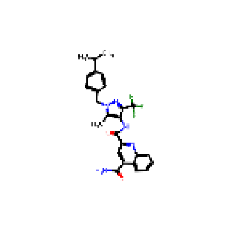 Cc1c(NC(=O)c2cc(C(N)=O)c3ccccc3n2)c(C(F)(F)F)nn1Cc1ccc(C(C)C)cc1